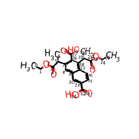 CCOC(=O)[C@@H](C)c1cc2cc(C(=O)O)ccc2c([C@H](C)C(=O)OCC)c1C(=O)O